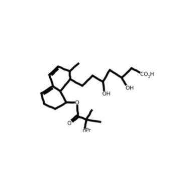 CCCC(C)(C)C(=O)OC1CCC=C2C=CC(C)C(CCC(O)CC(O)CC(=O)O)C21